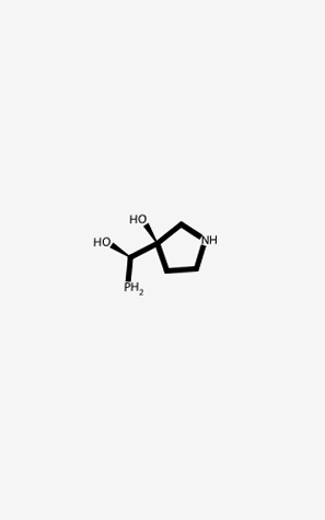 O[C@H](P)[C@@]1(O)CCNC1